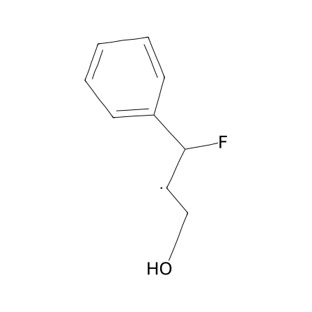 OC[CH]C(F)c1ccccc1